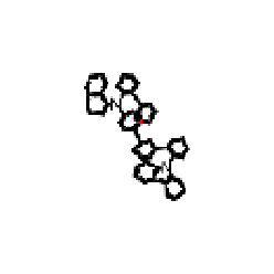 c1ccc(-c2ccccc2N(c2ccc(-c3cccc(-c4ccccc4-n4c5ccccc5c5ccccc54)c3)cc2)c2cccc3ccccc23)cc1